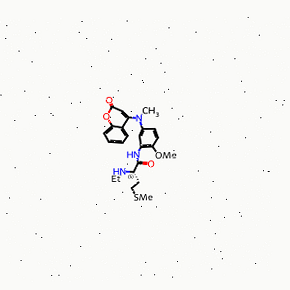 CCN[C@@H](CCSC)C(=O)Nc1cc(N(C)c2cc(=O)oc3ccccc23)ccc1OC